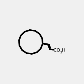 O=C(O)/C=C/C1CCCCCCCCCCCCC1